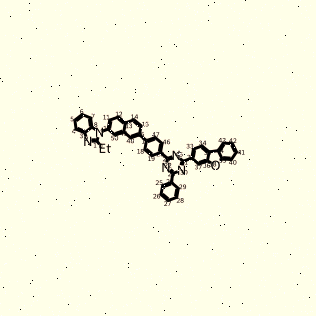 CCc1nc2ccccc2n1-c1ccc2ccc(-c3ccc(-c4nc(-c5ccccc5)nc(-c5ccc6c(c5)oc5ccccc56)n4)cc3)cc2c1